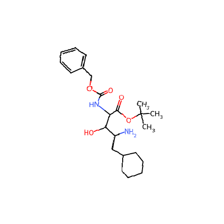 CC(C)(C)OC(=O)C(NC(=O)OCc1ccccc1)C(O)C(N)CC1CCCCC1